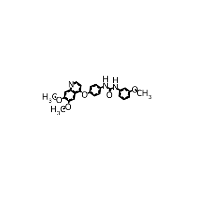 COc1cccc(NC(=O)Nc2ccc(Oc3ccnc4cc(OC)c(OC)cc34)cc2)c1